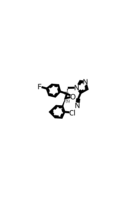 N#Cc1cncn1C[C@]1(c2ccc(F)cc2)O[C@H]1c1ccccc1Cl